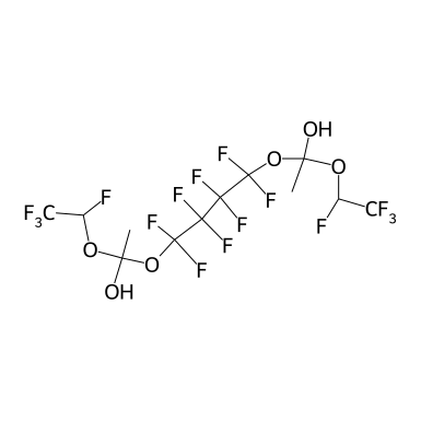 CC(O)(OC(F)C(F)(F)F)OC(F)(F)C(F)(F)C(F)(F)C(F)(F)OC(C)(O)OC(F)C(F)(F)F